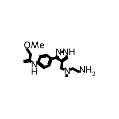 C=C(CCOC)Nc1ccc(-c2n[nH]cc2CN(C)CCN)cc1